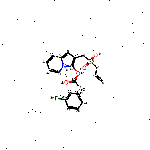 C=CCS(=O)(=O)Cc1cc2ccccn2c1OC(=O)C(C)=O.Fc1ccccc1